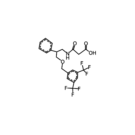 O=C(O)CC(=O)NCC(COCc1cc(C(F)(F)F)cc(C(F)(F)F)c1)c1ccccc1